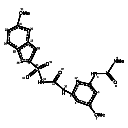 CNC(=O)Nc1cc(OC)cc(NC(=O)NS(=O)(=O)c2cc3cc(OC)ccc3s2)n1